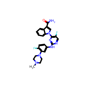 CN1CCN(c2cc(Nc3ncc(F)c(-n4cc(C(N)=O)c5ccccc54)n3)ccc2F)CC1